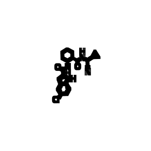 N#CC(NC(=O)[C@@H]1CCCC[C@@H]1NC(=O)c1cc2cc(Cl)ccc2[nH]1)C1CC1